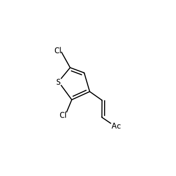 CC(=O)C=Cc1cc(Cl)sc1Cl